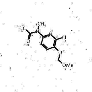 COCOc1ccc(N(C)C(=O)C(F)(F)F)nc1Cl